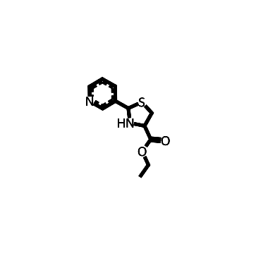 CCOC(=O)C1CSC(c2cccnc2)N1